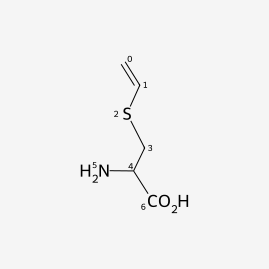 C=CSCC(N)C(=O)O